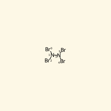 BrN(Br)N(Br)Br